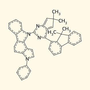 CC1(C)C=c2nc(-n3c4ccccc4c4ccc5c(ccn5-c5ccccc5)c43)nc(-c3cccc4c3C(C)(C)c3ccccc3-4)c2=C1